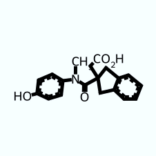 CN(C(=O)C1(CC(=O)O)Cc2ccccc2C1)c1ccc(O)cc1